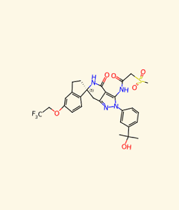 CC(C)(O)c1cccc(-n2nc3c(c2NC(=O)CS(C)(=O)=O)C(=O)N[C@@]2(CCc4cc(OCC(F)(F)F)ccc42)C3)c1